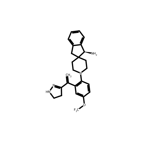 C=C(C1=NNCC1)c1cc(OC(F)(F)F)ccc1N1CCC2(CC1)Cc1ccccc1[C@H]2N